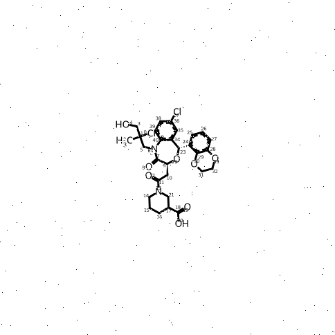 CC(C)(CO)CN1C(=O)[C@H](CC(=O)N2CCCC(C(=O)O)C2)O[C@@H](c2cccc3c2OCCO3)c2cc(Cl)ccc21